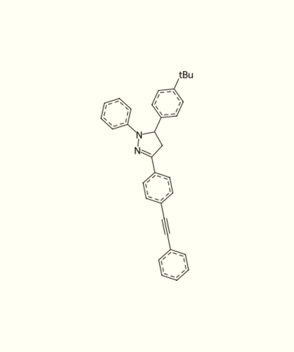 CC(C)(C)c1ccc(C2CC(c3ccc(C#Cc4ccccc4)cc3)=NN2c2ccccc2)cc1